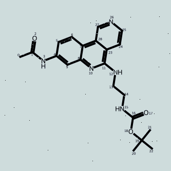 CC(=O)Nc1ccc2c(c1)nc(NCCNC(=O)OC(C)(C)C)c1ccncc12